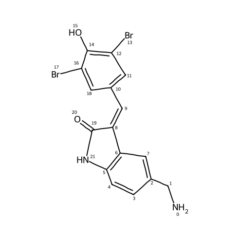 NCc1ccc2c(c1)/C(=C/c1cc(Br)c(O)c(Br)c1)C(=O)N2